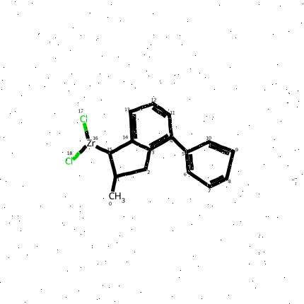 CC1Cc2c(-c3ccccc3)cccc2[CH]1[Zr]([Cl])[Cl]